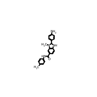 Cc1ccc(NC(=O)c2ccc3c(c2)N(C)C(c2ccc(N)cc2)N3)cc1